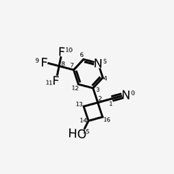 N#CC1(c2cncc(C(F)(F)F)c2)CC(O)C1